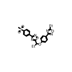 CCc1nc(-c2ccc(OC(CC)c3nc(-c4ccc(S(C)(=O)=O)cc4)no3)cc2)no1